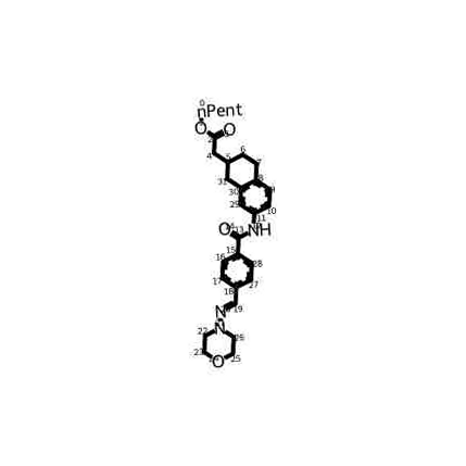 CCCCCOC(=O)CC1CCc2ccc(NC(=O)c3ccc(/C=N/N4CCOCC4)cc3)cc2C1